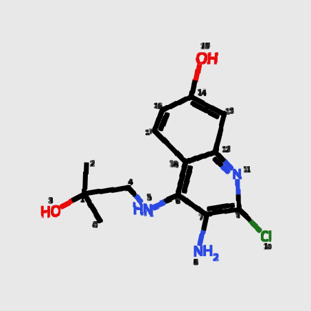 CC(C)(O)CNc1c(N)c(Cl)nc2cc(O)ccc12